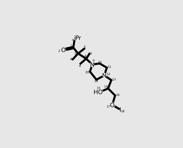 CC(C)C(=O)C(C)(C)C(C)(C)N1CCN(CC(O)COI)CC1